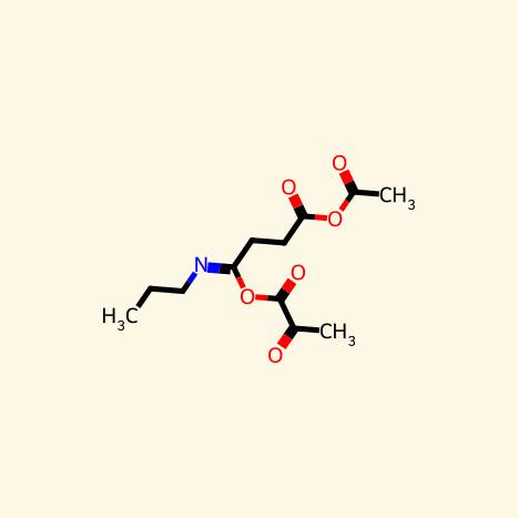 CCCN=C(CCC(=O)OC(C)=O)OC(=O)C(C)=O